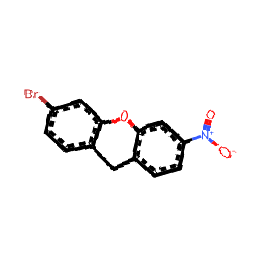 O=[N+]([O-])c1ccc2c(c1)Oc1cc(Br)ccc1C2